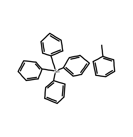 Cc1ccccc1.c1cc[c]([Sn]([c]2ccccc2)([c]2ccccc2)[c]2ccccc2)cc1